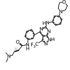 CN(C)C/C=C/C(=O)Nc1cccc(-c2nc(Nc3cccc(N4CCOCC4)c3)nc3[nH]nc(C(F)(F)F)c23)c1